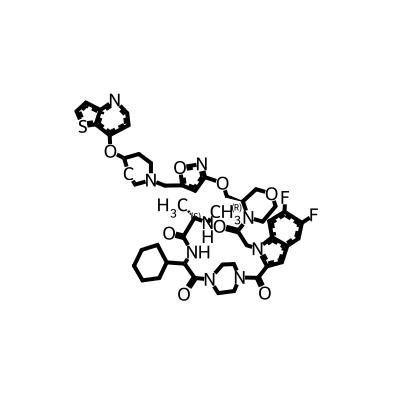 CN[C@@H](C)C(=O)NC(C(=O)N1CCN(C(=O)c2cc3cc(F)c(F)cc3n2CC(=O)N2CCOC[C@@H]2COc2cc(CN3CCC(Oc4ccnc5ccsc45)CC3)on2)CC1)C1CCCCC1